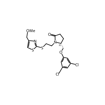 COCc1csc(SCCN2C(=O)CC[C@@H]2COc2cc(Cl)cc(Cl)c2)n1